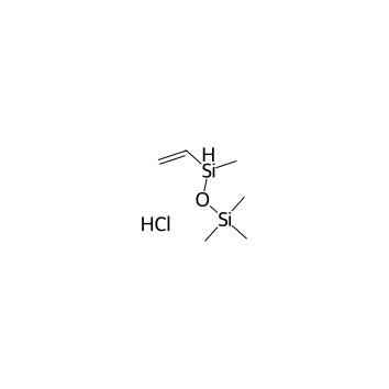 C=C[SiH](C)O[Si](C)(C)C.Cl